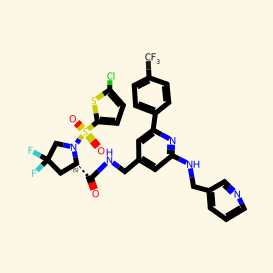 O=C(NCc1cc(NCc2cccnc2)nc(-c2ccc(C(F)(F)F)cc2)c1)[C@@H]1CC(F)(F)CN1S(=O)(=O)c1ccc(Cl)s1